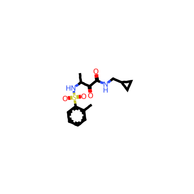 Cc1ccccc1S(=O)(=O)NC(C)C(=O)C(=O)NCC1CC1